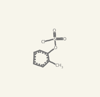 Cc1ccccc1OS(=O)(=O)Cl